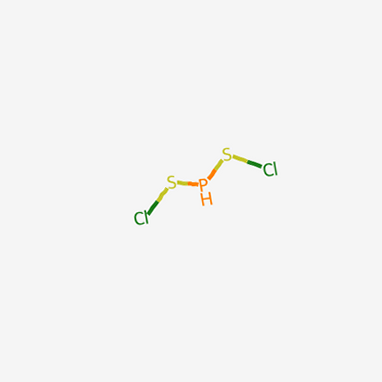 ClSPSCl